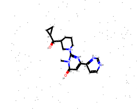 Cn1c(N2CCCC(C(=O)C3CC3)C2)nc(-c2ccncn2)cc1=O